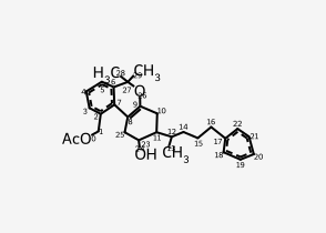 CC(=O)OCc1cccc2c1C1=C(CC(C(C)CCCc3ccccc3)C(O)C1)OC2(C)C